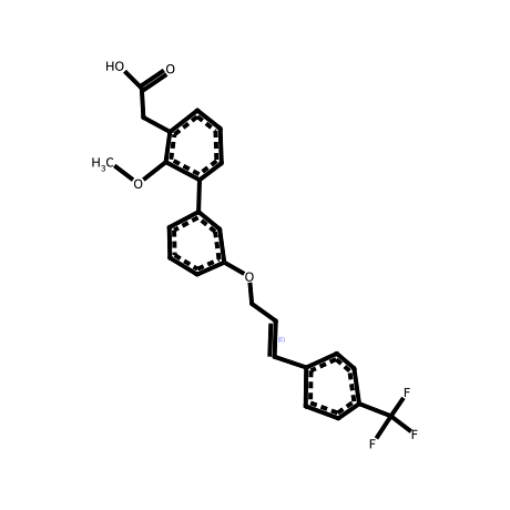 COc1c(CC(=O)O)cccc1-c1cccc(OC/C=C/c2ccc(C(F)(F)F)cc2)c1